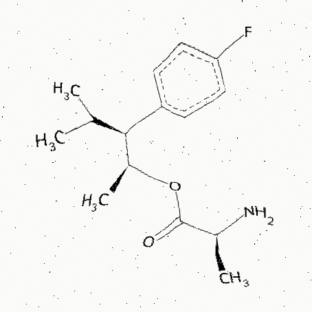 CC(C)[C@@H](c1ccc(F)cc1)[C@H](C)OC(=O)[C@H](C)N